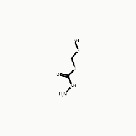 NNC(=O)OCSS